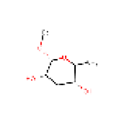 CCO[C@@H]1OC(C)[C@H](O)C[C@@H]1O